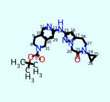 CC(C)(C)OC(=O)N1CCc2cnc(Nc3cc4n(n3)CC(=O)N(C3CC3)CC4)cc2C1